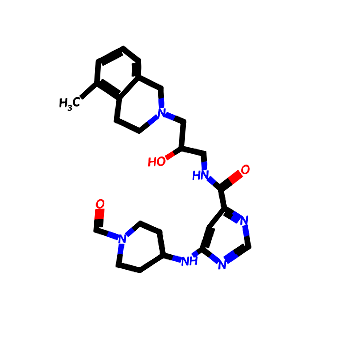 Cc1cccc2c1CCN(CC(O)CNC(=O)c1cc(NC3CCN(C=O)CC3)ncn1)C2